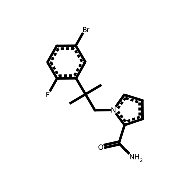 CC(C)(Cn1cccc1C(N)=O)c1cc(Br)ccc1F